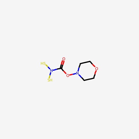 O=C(ON1CCOCC1)N(S)S